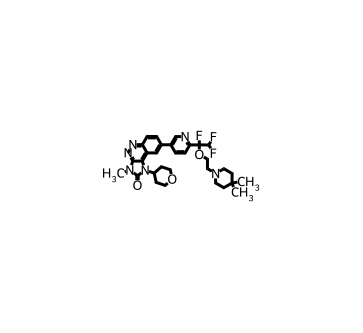 Cn1c(=O)n(C2CCOCC2)c2c3cc(-c4ccc(C(F)(OCCN5CCC(C)(C)CC5)C(F)F)nc4)ccc3nnc21